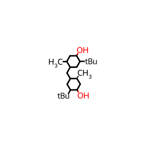 CC1CC(O)C(C(C)(C)C)CC1CC1CC(C(C)(C)C)C(O)C[C@@H]1C